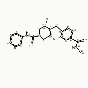 C[C@@H]1CN(C(=O)Nc2ccccc2)C[C@H](C)N1Cc1ccc(C(=O)NO)cc1